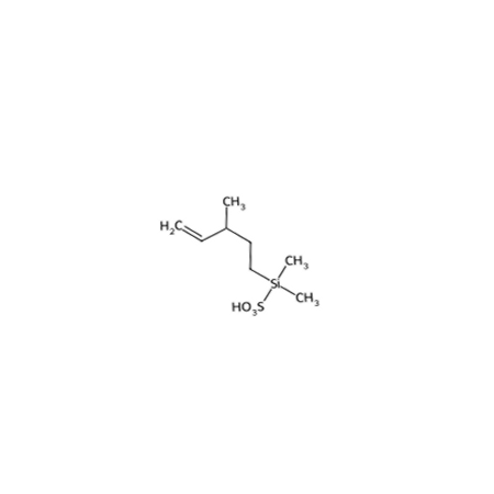 C=CC(C)CC[Si](C)(C)S(=O)(=O)O